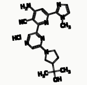 Cl.Cn1ccnc1-c1cc(N)c(C#N)c(-c2cncc(N3CCC(C(C)(C)O)C3)n2)n1